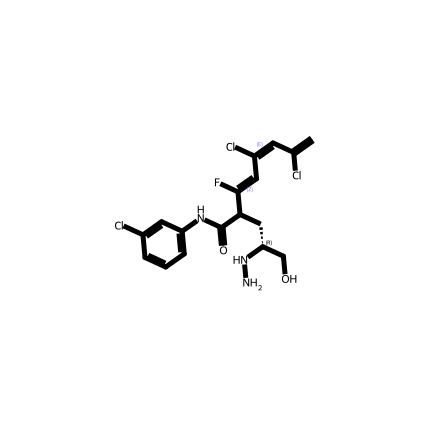 C=C(Cl)/C=C(Cl)\C=C(/F)C(C[C@H](CO)NN)C(=O)Nc1cccc(Cl)c1